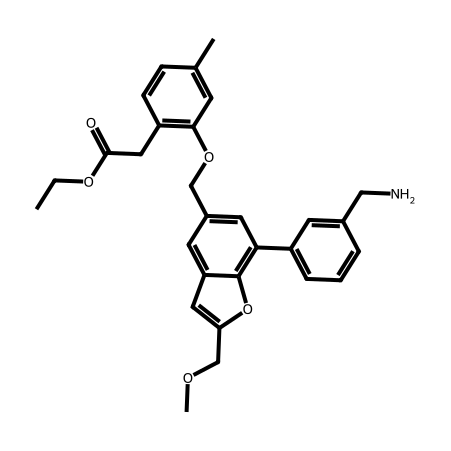 CCOC(=O)Cc1ccc(C)cc1OCc1cc(-c2cccc(CN)c2)c2oc(COC)cc2c1